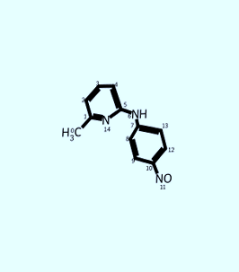 Cc1cccc(Nc2ccc(N=O)cc2)n1